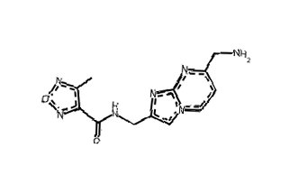 Cc1nonc1C(=O)NCc1cn2ccc(CN)nc2n1